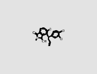 C=CCC(c1ccc(Cl)c(Cl)c1)c1c(Cl)ccc2c1C(O)N(C)C2=O